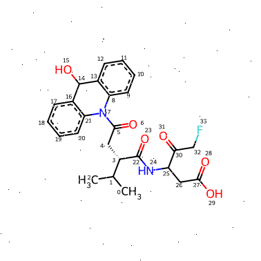 CC(C)[C@H](CC(=O)N1c2ccccc2C(O)c2ccccc21)C(=O)NC(CC(=O)O)C(=O)CF